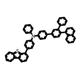 c1ccc(-c2cc(-c3ccc(N(c4ccccc4)c4ccc(-c5cccc6c5sc5ccccc56)cc4)cc3)ccc2-c2cccc3ccccc23)cc1